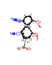 COc1ccc([N+]#N)cc1.COc1ccc([N+]#N)cc1.[O-]B([O-])F